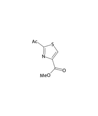 COC(=O)c1csc(C(C)=O)n1